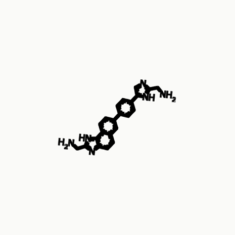 NCc1ncc(-c2ccc(-c3ccc4c(ccc5nc(CN)[nH]c54)c3)cc2)[nH]1